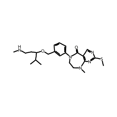 CNCCC(OCc1cccc(N2CCN(C)c3nc(SC)ncc3C2=O)c1)C(C)C